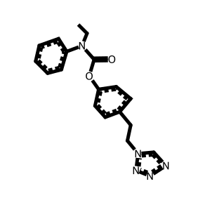 CCN(C(=O)Oc1ccc(CCn2cnnn2)cc1)c1ccccc1